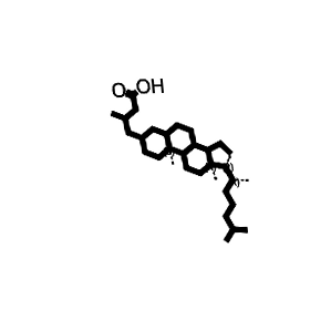 CC(C)CCC[C@@H](C)[C@H]1CCC2C3CCC4CC(CC(C)CC(=O)O)CC[C@]4(C)C3CC[C@@]21C